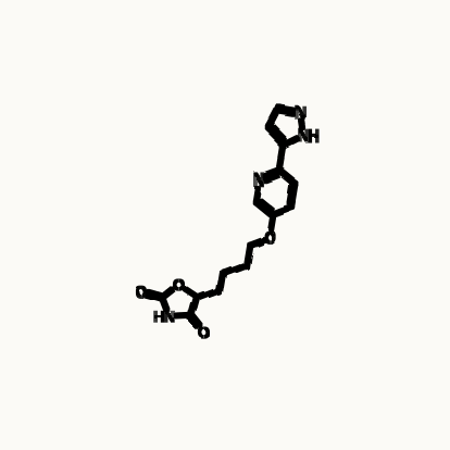 O=C1NC(=O)C(CCCCOc2ccc(-c3ccn[nH]3)nc2)O1